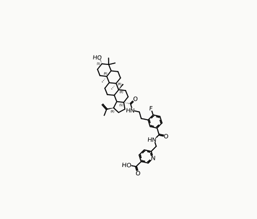 C=C(C)[C@@H]1CC[C@]2(C(=O)NCCc3cc(C(=O)NCc4ccc(C(=O)O)cn4)ccc3F)CC[C@]3(C)C(CCC4[C@@]5(C)CC[C@H](O)C(C)(C)C5CC[C@]43C)C12